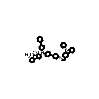 CC1(C)c2ccccc2-c2ccc(N(c3ccc(-c4ccccc4)cc3)c3ccc(-c4ccc(-n5ccc6cc7c8ccccc8n(-c8ccccc8)c7cc65)cc4)cc3)cc21